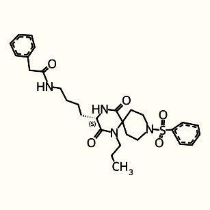 CCCN1C(=O)[C@H](CCCCNC(=O)Cc2ccccc2)NC(=O)C12CCN(S(=O)(=O)c1ccccc1)CC2